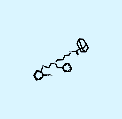 COc1ccccc1OCCN(CCCCNC(=O)C12CC3CC(CC(C3)C1)C2)Cc1ccccc1